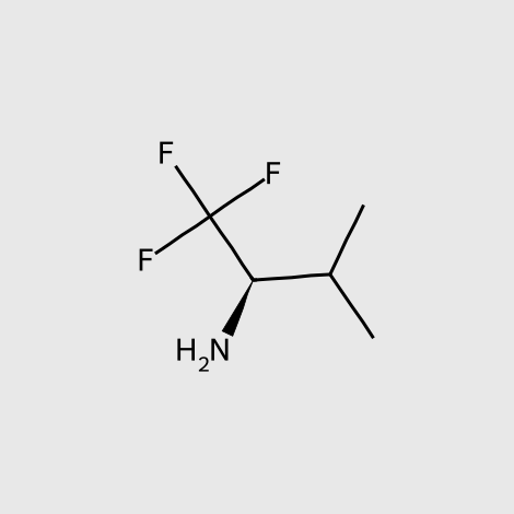 CC(C)[C@@H](N)C(F)(F)F